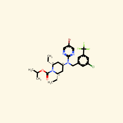 CC[C@@H]1C[C@@H](N(Cc2cc(Cl)cc(C(F)(F)F)c2)c2ncc(Br)cn2)C[C@H](CC)N1C(=O)OC(C)C